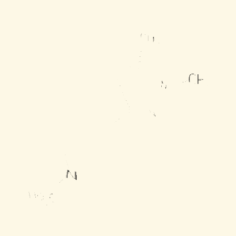 Cc1cc(C2=CCN(C(=O)O)CC2)nn1C